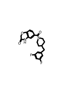 O=C1COc2ccc(C(=O)N3CCC(Cc4cc(F)cc(F)c4)CC3)cc2N1